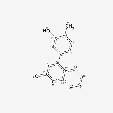 Cc1ccc(-c2cc(=O)oc3ccccc23)cc1O